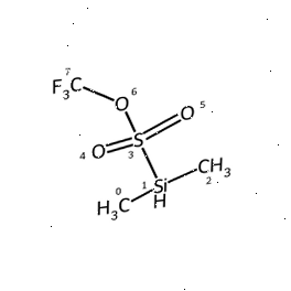 C[SiH](C)S(=O)(=O)OC(F)(F)F